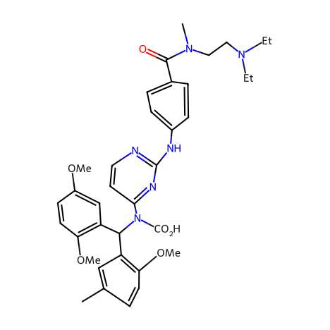 CCN(CC)CCN(C)C(=O)c1ccc(Nc2nccc(N(C(=O)O)C(c3cc(C)ccc3OC)c3cc(OC)ccc3OC)n2)cc1